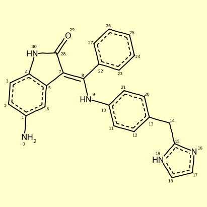 Nc1ccc2c(c1)C(=C(Nc1ccc(Cc3ncc[nH]3)cc1)c1ccccc1)C(=O)N2